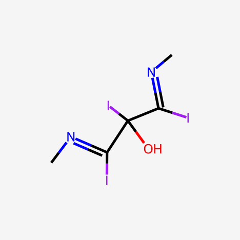 CN=C(I)C(O)(I)C(I)=NC